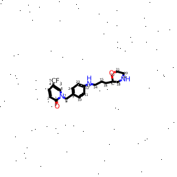 O=c1ccc(C(F)(F)F)cn1Cc1ccc(NCCCC2CNCCO2)cc1